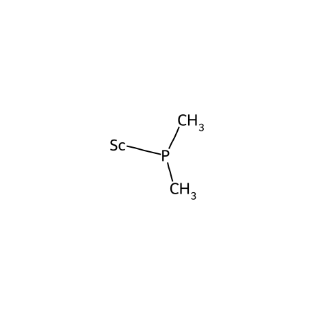 C[P](C)[Sc]